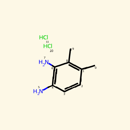 Cc1ccc(N)c(N)c1C.Cl.Cl